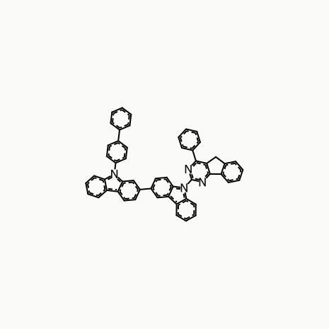 c1ccc(-c2ccc(-n3c4ccccc4c4ccc(-c5ccc6c(c5)c5ccccc5n6-c5nc(-c6ccccc6)c6c(n5)-c5ccccc5C6)cc43)cc2)cc1